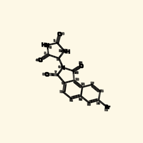 O=C1NC(=O)C(N2C(=O)c3ccc4cc(Br)ccc4c3C2=O)N1